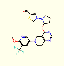 COc1ncc(N2CCc3ncnc(OC4CCCN4N4C=C(C=O)SC4)c3C2)cc1C(F)(F)F